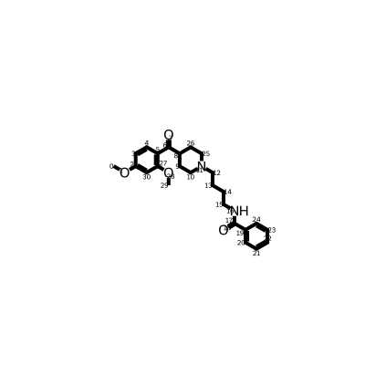 COc1ccc(C(=O)C2CCN(CCCCNC(=O)c3ccccc3)CC2)c(OC)c1